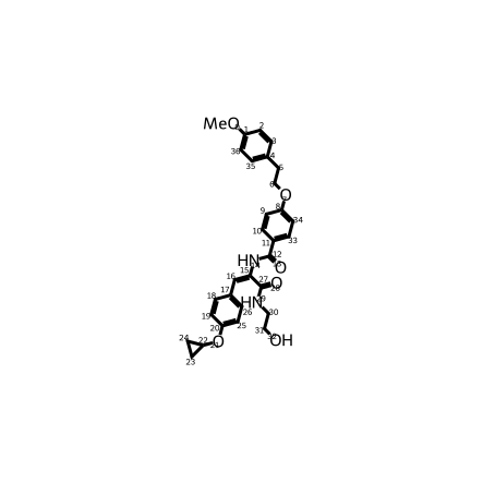 COc1ccc(CCOc2ccc(C(=O)N/C(=C/c3ccc(OC4CC4)cc3)C(=O)NCCO)cc2)cc1